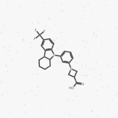 O=C(O)C1CN(c2cccc(N3c4ccc(C(F)(F)F)cc4C4CCCCC43)c2)C1